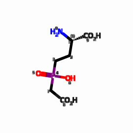 N[C@@H](CCP(=O)(O)CC(=O)O)C(=O)O